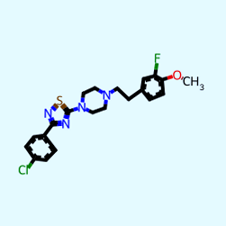 COc1ccc(CCN2CCN(c3nc(-c4ccc(Cl)cc4)ns3)CC2)cc1F